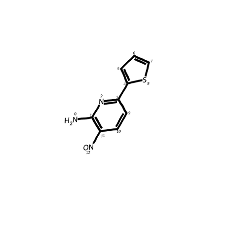 Nc1nc(-c2cccs2)ccc1N=O